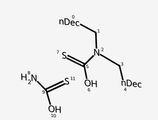 CCCCCCCCCCCN(CCCCCCCCCCC)C(O)=S.NC(O)=S